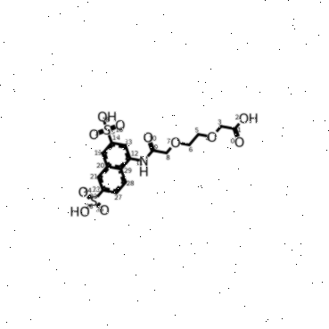 O=C(O)COCCOCC(=O)Nc1cc(S(=O)(=O)O)cc2cc(S(=O)(=O)O)ccc12